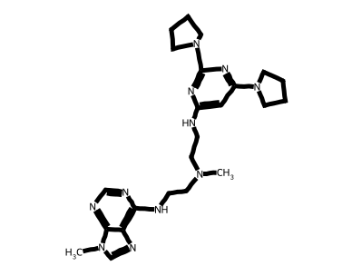 CN(CCNc1cc(N2CCCC2)nc(N2CCCC2)n1)CCNc1ncnc2c1ncn2C